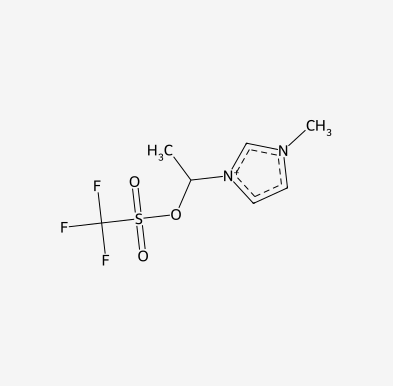 CC(OS(=O)(=O)C(F)(F)F)[n+]1ccn(C)c1